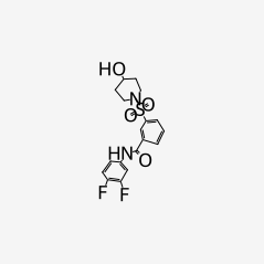 O=C(Nc1ccc(F)c(F)c1)c1cccc(S(=O)(=O)N2CCC(O)CC2)c1